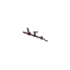 CCCCC#CCCCOC(=O)CCCCCCCCCN(CCCCO)CCCCCCCC(=O)OC(CCCCCCCC)CCCCCCCC